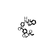 C=CC(=O)N1CCOc2cc(C(=O)N3CC[C@@H](Nc4ncc5ccccc5n4)C3)ccc21